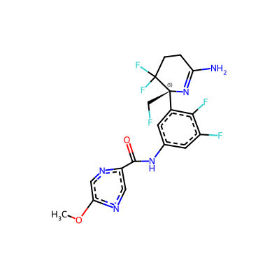 COc1cnc(C(=O)Nc2cc(F)c(F)c([C@@]3(CF)N=C(N)CCC3(F)F)c2)cn1